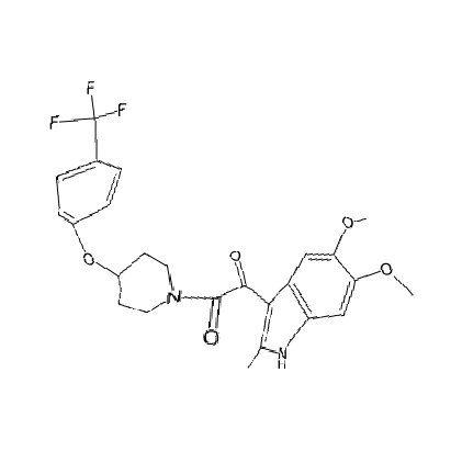 COc1cc2[nH]c(C)c(C(=O)C(=O)N3CCC(Oc4ccc(C(F)(F)F)cc4)CC3)c2cc1OC